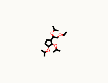 CCOCC(OC(C)C)C1CC[C@@H](OC(C)C)[C@@H]1OC(C)C